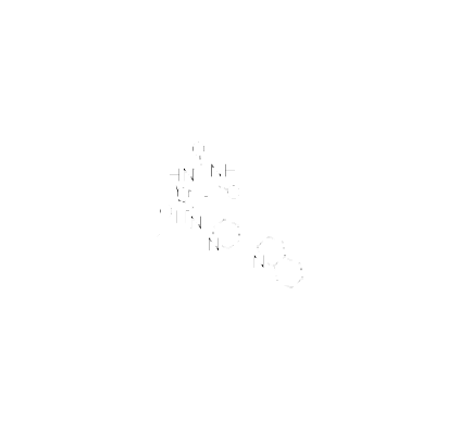 C[C@@H]1CN2c3ncc(-c4ccc5ccccc5n4)cc3CC3(C(=O)NC(=O)NC3=O)[C@H]2[C@H](C)O1